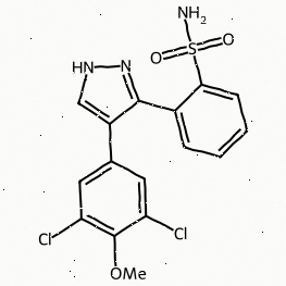 COc1c(Cl)cc(-c2c[nH]nc2-c2ccccc2S(N)(=O)=O)cc1Cl